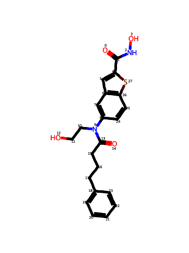 O=C(NO)c1cc2cc(N(CCO)C(=O)CCCc3ccccc3)ccc2s1